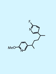 COc1ccc(C(C)CCC(C)c2ccc(F)nc2)cn1